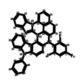 Fc1cc(F)c(B2c3ccc4c(c3-n3c5c2ccc2cccc(c25)n2c5ccccc5nc32)c2ccccc2n4-c2ccccc2)c(F)c1